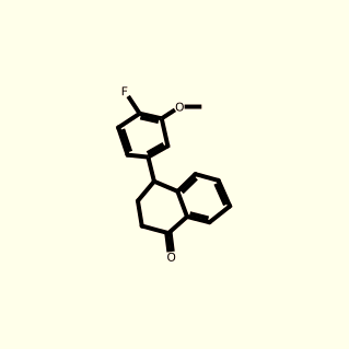 COc1cc(C2CCC(=O)c3ccccc32)ccc1F